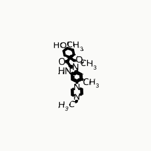 CCN1CCN(c2cc3[nH]c(C(=O)C4(COC)CCC(C)(O)CC4)nc3cc2C)CC1